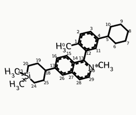 Cc1ccc(C2CCCCC2)cc1-c1c2ccc(C3CC[Si](C)(C)CC3)cc2cc[n+]1C